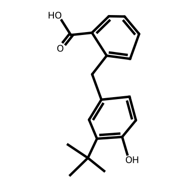 CC(C)(C)c1cc(Cc2ccccc2C(=O)O)ccc1O